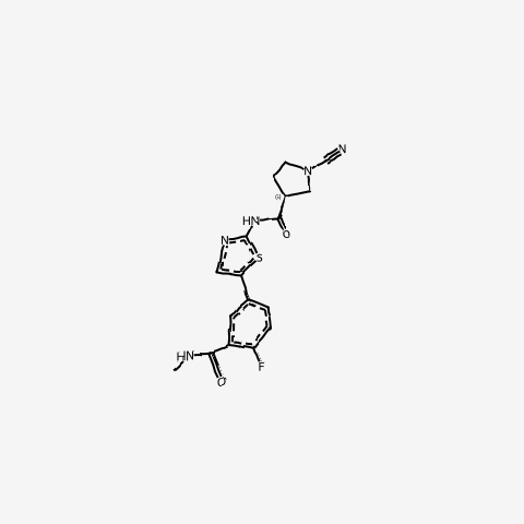 CNC(=O)c1cc(-c2cnc(NC(=O)[C@H]3CCN(C#N)C3)s2)ccc1F